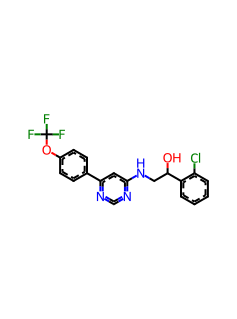 OC(CNc1cc(-c2ccc(OC(F)(F)F)cc2)ncn1)c1ccccc1Cl